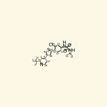 [CH2]C(C)(C)c1cc(-c2csc(-c3ccc(NS(=O)(=O)NC(C)C)cc3Cl)c2)ccn1